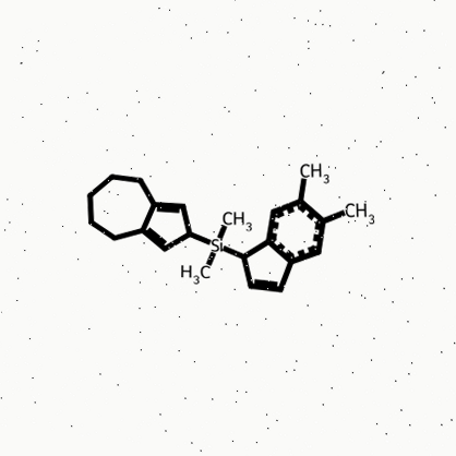 Cc1cc2c(cc1C)C([Si](C)(C)C1C=C3CCCCCC3=C1)C=C2